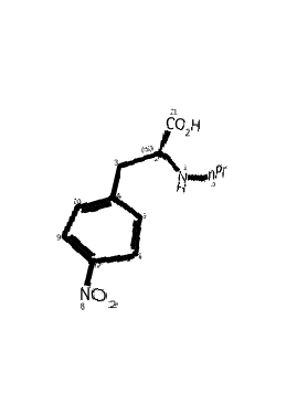 CCCN[C@@H](Cc1ccc([N+](=O)[O-])cc1)C(=O)O